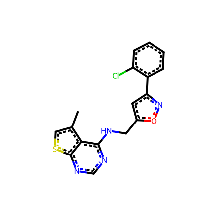 Cc1csc2ncnc(NCc3cc(-c4ccccc4Cl)no3)c12